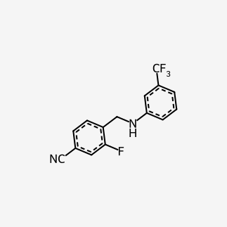 N#Cc1ccc(CNc2cccc(C(F)(F)F)c2)c(F)c1